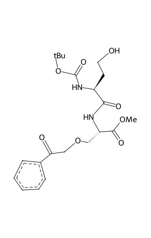 COC(=O)[C@H](COCC(=O)c1ccccc1)NC(=O)[C@H](CCO)NC(=O)OC(C)(C)C